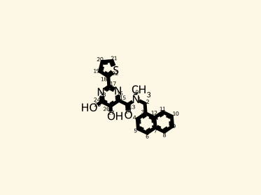 CN(Cc1cccc2ccccc12)C(=O)c1nc(-c2cccs2)nc(O)c1O